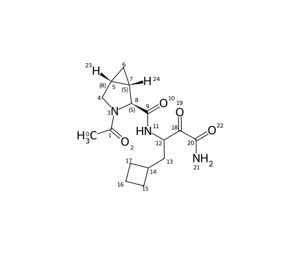 CC(=O)N1C[C@@H]2C[C@@H]2[C@H]1C(=O)NC(CC1CCC1)C(=O)C(N)=O